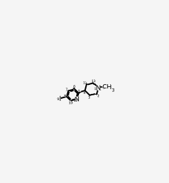 CN1CCC(c2ccc(I)cn2)CC1